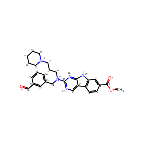 COC(=O)c1ccc2c(c1)[nH]c1nc(N(CCCN3CCCCC3)Cc3cccc(C=O)c3)ncc12